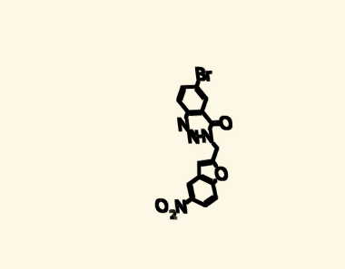 O=c1c2cc(Br)ccc2nnn1Cc1cc2cc([N+](=O)[O-])ccc2o1